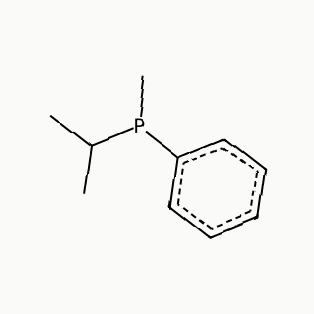 CC(C)P(C)c1ccccc1